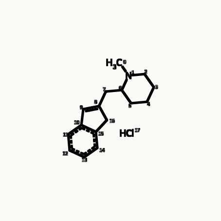 CN1CCCCC1CC1=Cc2ccccc2C1.Cl